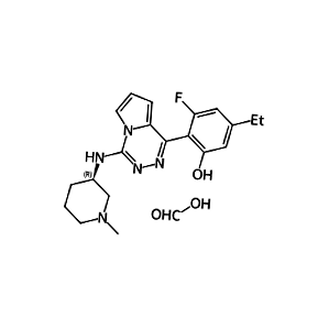 CCc1cc(O)c(-c2nnc(N[C@@H]3CCCN(C)C3)n3cccc23)c(F)c1.O=CO